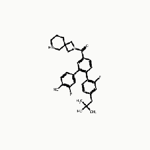 CC(C)(O)Cc1ccc(-c2ccc(C(=O)N3CC4(CCCNC4)C3)cc2-c2ccc(C#N)c(F)c2)c(F)c1